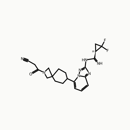 N#CCC(=O)N1CC2(CCC(c3cccc4nc(NC(=N)[C@H]5CC5(F)F)nn34)CC2)C1